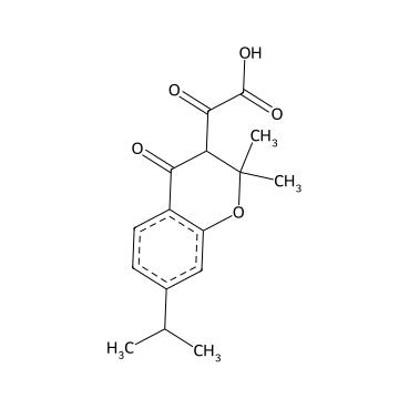 CC(C)c1ccc2c(c1)OC(C)(C)C(C(=O)C(=O)O)C2=O